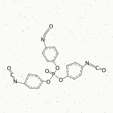 O=C=Nc1ccc(OP(=O)(Oc2ccc(N=C=O)cc2)Oc2ccc(N=C=O)cc2)cc1